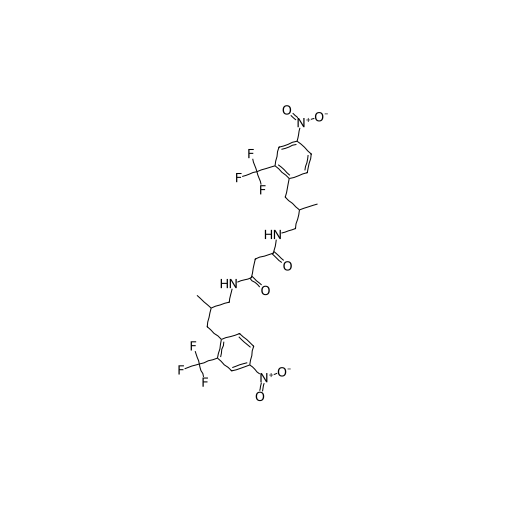 CC(CNC(=O)CC(=O)NCC(C)Cc1ccc([N+](=O)[O-])cc1C(F)(F)F)Cc1ccc([N+](=O)[O-])cc1C(F)(F)F